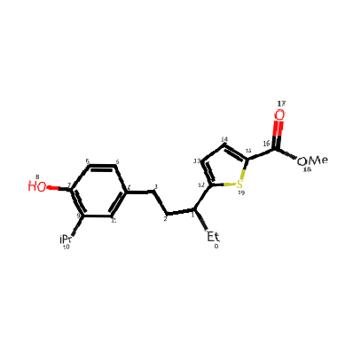 CCC(CCc1ccc(O)c(C(C)C)c1)c1ccc(C(=O)OC)s1